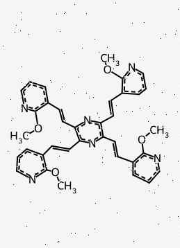 COc1ncccc1C=Cc1nc(C=Cc2cccnc2OC)c(C=Cc2cccnc2OC)nc1C=Cc1cccnc1OC